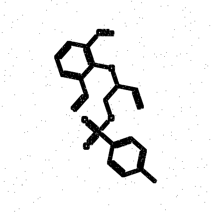 C=Cc1cccc(OC)c1OC(C=C)COS(=O)(=O)c1ccc(C)cc1